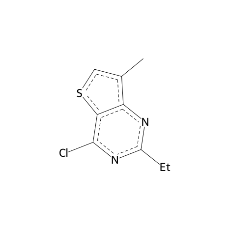 CCc1nc(Cl)c2scc(C)c2n1